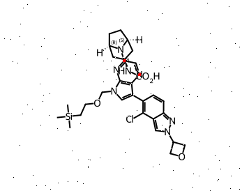 C[Si](C)(C)CCOCn1cc(-c2ccc3nn(C4COC4)cc3c2Cl)c2ncc(N3[C@@H]4CC[C@H]3C[C@@H](NC(=O)O)C4)nc21